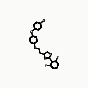 Fc1cccc(F)c1C1=NC(CCOc2ccc(Oc3ccc(Cl)cc3)cc2)CO1